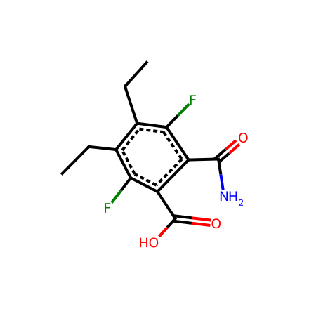 CCc1c(F)c(C(N)=O)c(C(=O)O)c(F)c1CC